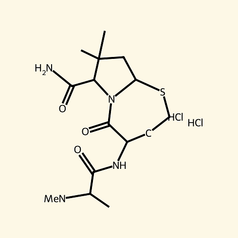 CNC(C)C(=O)NC1CCSC2CC(C)(C)C(C(N)=O)N2C1=O.Cl.Cl